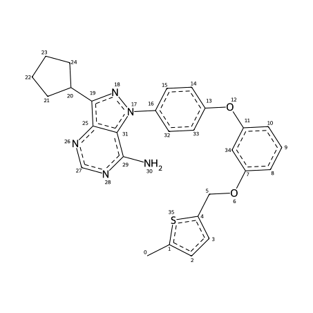 Cc1ccc(COc2cccc(Oc3ccc(-n4nc(C5CCCC5)c5ncnc(N)c54)cc3)c2)s1